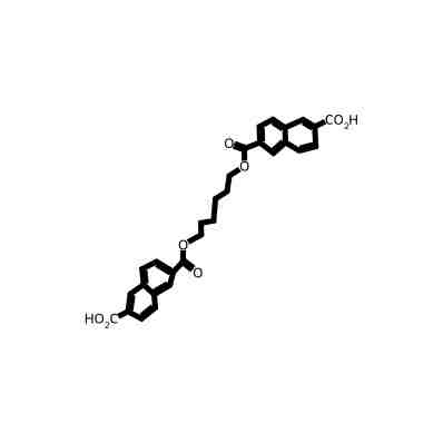 O=C(O)c1ccc2cc(C(=O)OCCCCCCOC(=O)c3ccc4cc(C(=O)O)ccc4c3)ccc2c1